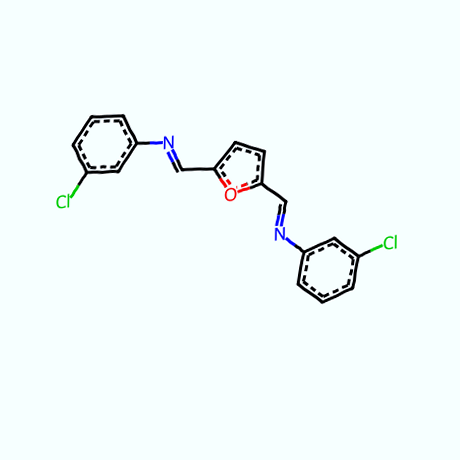 Clc1cccc(N=Cc2ccc(C=Nc3cccc(Cl)c3)o2)c1